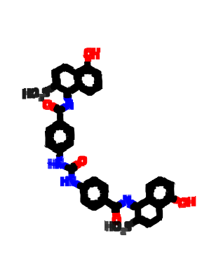 O=C(Nc1ccc(C(=O)N=C2C(S(=O)(=O)O)=CCc3c(O)cccc32)cc1)Nc1ccc(C(=O)N=C2C(S(=O)(=O)O)=CCc3c(O)cccc32)cc1